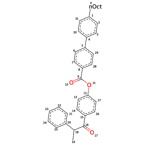 CCCCCCCCc1ccc(-c2ccc(C(=O)Oc3ccc(C(=O)C(C)c4ccccc4)cc3)cc2)cc1